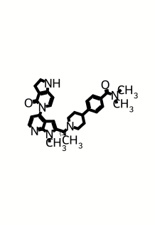 C[C@@H](c1cc2c(-n3ccc4c(c3=O)CCN4)ccnc2n1C)N1CCC(c2ccc(C(=O)N(C)C)cc2)CC1